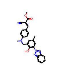 COC(=O)/C(C#N)=C/c1ccc(N(C)Cc2cc(C)cc(-n3nc4ccccc4n3)c2O)cc1